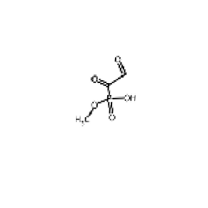 COP(=O)(O)C(=O)C=O